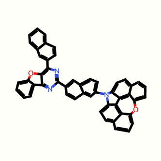 c1ccc2cc(-c3nc(-c4ccc5cc(-n6c7ccc8cccc9oc%10cccc%11ccc6c(c%11%10)c7c89)ccc5c4)nc4c3oc3ccccc34)ccc2c1